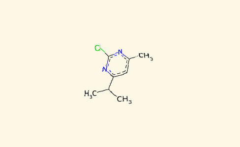 Cc1cc(C(C)C)nc(Cl)n1